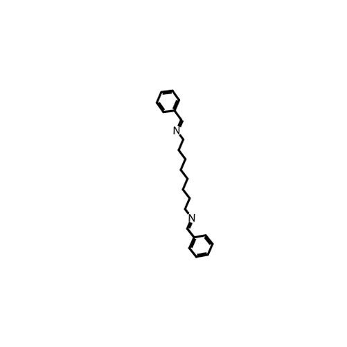 C(=NCCCCCCCCN=Cc1ccccc1)c1ccccc1